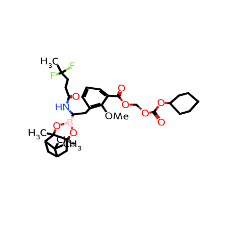 COc1c(CC(NC(=O)CCC(C)(F)F)B2OC3CC4CC(C4(C)C)C3(C)O2)cccc1C(=O)OCOC(=O)OC1CCCCC1